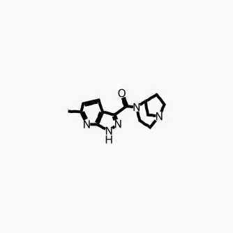 Cc1ccc2c(C(=O)N3CCN4CCC3C4)n[nH]c2n1